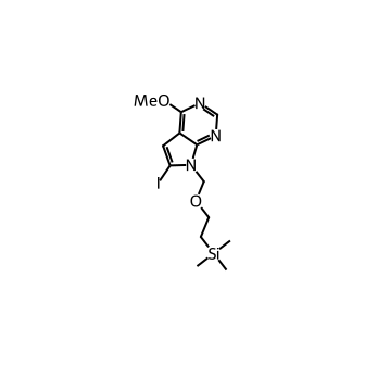 COc1ncnc2c1cc(I)n2COCC[Si](C)(C)C